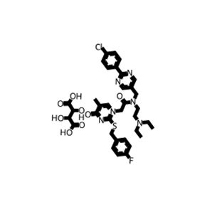 CCN(CC)CCN(Cc1cnc(-c2ccc(Cl)cc2)nc1)C(=O)Cn1cc(C)c(=O)nc1SCc1ccc(F)cc1.O=C(O)C(O)C(O)C(=O)O